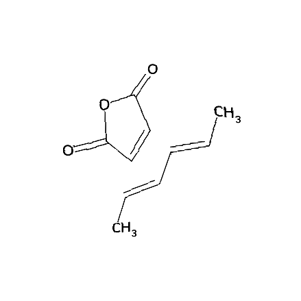 CC=CC=CC.O=C1C=CC(=O)O1